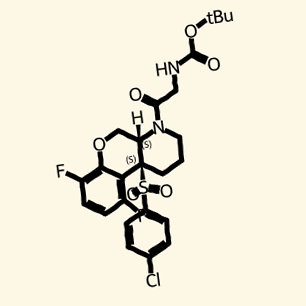 CC(C)(C)OC(=O)NCC(=O)N1CCC[C@]2(S(=O)(=O)c3ccc(Cl)cc3)c3c(F)ccc(F)c3OC[C@H]12